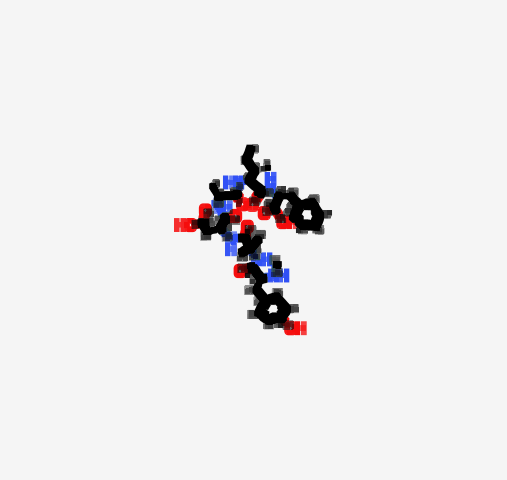 CC[C@H](C)[C@H](NC(=O)[C@H](C)NC(=O)[C@H](CC(=O)O)NC(=O)C(C)(C)NC(=O)[C@H](Cc1ccc(O)cc1)NC)C(=O)N[C@@H](Cc1ccccc1)C(=O)O